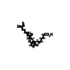 CCC(C=S)SCCNCC(=S)NC[C@@H]1[C@H](C/C=C\CCCC(=O)O)[C@@H]2CC[C@H]1O2